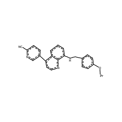 CC(C)Oc1ccc(CNc2cccc3c(-c4ccc(C#N)nc4)ccnc23)cc1